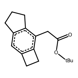 CC(C)(C)OC(=O)Cc1c2c(cc3c1CC3)CCC2